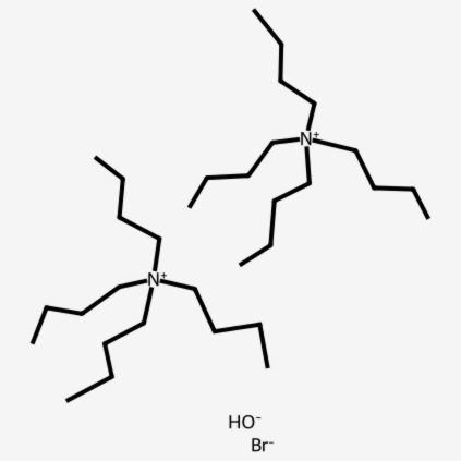 CCCC[N+](CCCC)(CCCC)CCCC.CCCC[N+](CCCC)(CCCC)CCCC.[Br-].[OH-]